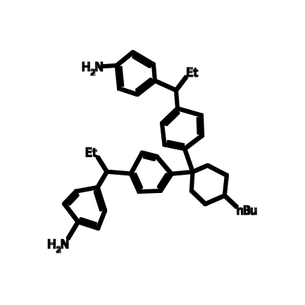 CCCCC1CCC(c2ccc(C(CC)c3ccc(N)cc3)cc2)(c2ccc(C(CC)c3ccc(N)cc3)cc2)CC1